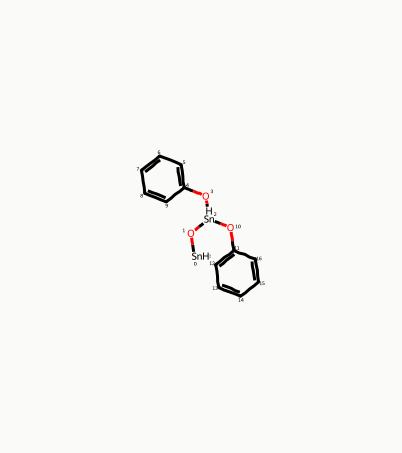 [SnH][O][SnH]([O]c1ccccc1)[O]c1ccccc1